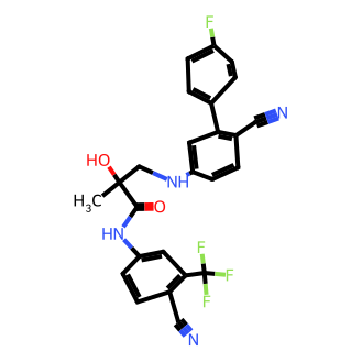 CC(O)(CNc1ccc(C#N)c(-c2ccc(F)cc2)c1)C(=O)Nc1ccc(C#N)c(C(F)(F)F)c1